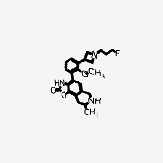 COc1c(-c2cc3c(c4oc(=O)[nH]c24)CC(C)NC3)cccc1C1CN(CCCF)C1